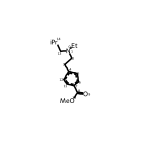 CCN(CCc1ccc(C(=O)OC)cc1)CC(C)C